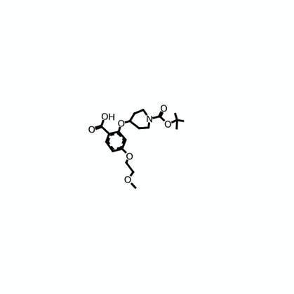 COCCOc1ccc(C(=O)O)c(OC2CCN(C(=O)OC(C)(C)C)CC2)c1